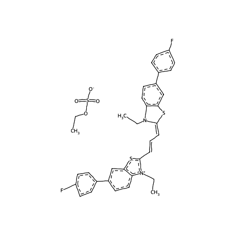 CCN1C(=CC=Cc2sc3cc(-c4ccc(F)cc4)ccc3[n+]2CC)Sc2cc(-c3ccc(F)cc3)ccc21.CCOS(=O)(=O)[O-]